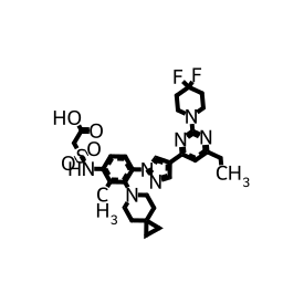 CCc1cc(-c2cnn(-c3ccc(NS(=O)(=O)CC(=O)O)c(C)c3N3CCC4(CC3)CC4)c2)nc(N2CCC(F)(F)CC2)n1